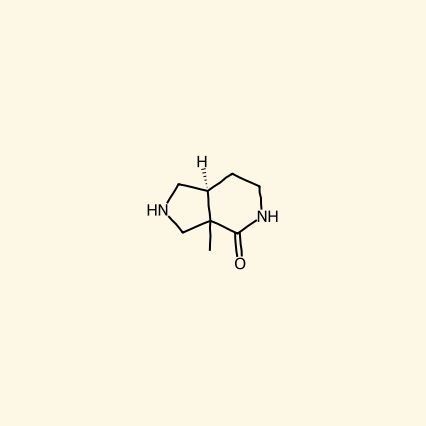 CC12CNC[C@H]1CCNC2=O